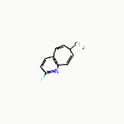 CC1C=Cc2ccc(F)nc2C=C1